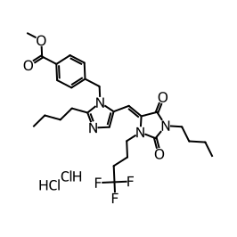 CCCCc1ncc(C=C2C(=O)N(CCCC)C(=O)N2CCCC(F)(F)F)n1Cc1ccc(C(=O)OC)cc1.Cl.Cl